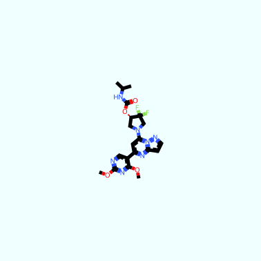 COc1ncc(-c2cc(N3C[C@H](OC(=O)NC(C)C)C(F)(F)C3)n3nccc3n2)c(OC)n1